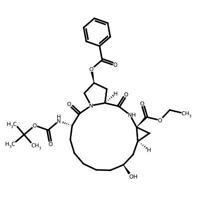 CCOC(=O)[C@@]12C[C@H]1C[C@@H](O)CCCCC[C@H](NC(=O)OC(C)(C)C)C(=O)N1C[C@@H](OC(=O)c3ccccc3)C[C@H]1C(=O)N2